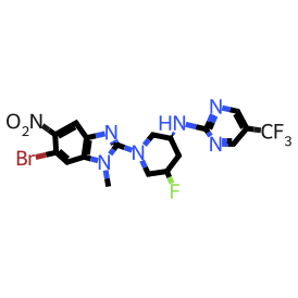 Cn1c(N2CC(F)C[C@@H](Nc3ncc(C(F)(F)F)cn3)C2)nc2cc([N+](=O)[O-])c(Br)cc21